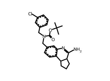 CC(C)(C)OC(=O)N(Cc1cccc(Cl)c1)Cc1ccc2c(c1)N=C(N)C1CCCC21